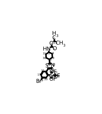 CC(C)OC(=O)NC1CCC(c2ncc(-c3ccc(Br)cc3S(=O)(=O)C(F)(F)F)s2)CC1